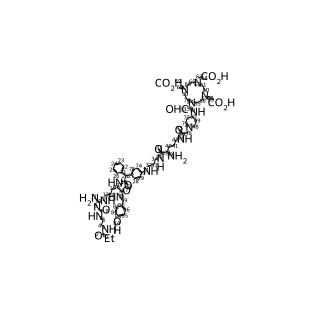 CCC(=O)NCCNC(=O)/N=C(/N)NCCC[C@@H](NC(=O)[C@@H](c1ccccc1)c1ccc(NCCCNC(=O)[C@H](N)CCCNC(=O)CN2CCC(NC(C=O)N3CCN(CC(=O)O)CCN(CC(=O)O)CCN(CC(=O)O)CC3)CC2)cc1)C(=O)NCc1ccc(O)cc1